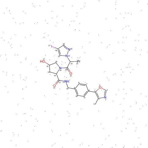 Cc1ncoc1-c1ccc(CNC(=O)C2CC(O)CN2C(=O)C(C(C)C)n2cc(I)cn2)cc1